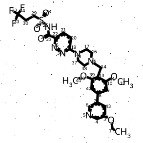 CCOc1cncc(-c2cc(OC)c(CN3CCN(c4ccc(C(=O)NS(=O)(=O)CCC(F)(F)F)nn4)CC3)c(OC)c2)c1